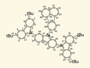 CC(C)(C)c1ccc2c(c1)c1cc(C(C)(C)C)ccc1n2-c1ccc2c3ccc(-n4c5ccc(C(C)(C)C)cc5c5cc(C(C)(C)C)ccc54)cc3n(-c3ccc4c(c3)-c3cccc5cccc-4c35)c2c1